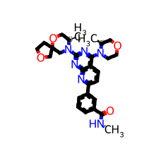 CNC(=O)c1cccc(-c2ccc3c(N4CCOC[C@@H]4C)nc(N4CC5(CCOC5)OC[C@@H]4C)nc3n2)c1